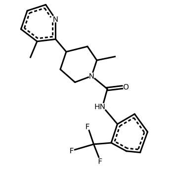 Cc1cccnc1C1CCN(C(=O)Nc2ccccc2C(F)(F)F)C(C)C1